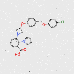 O=C(O)c1cccc(N2CC(Oc3ccc(COc4ccc(Cl)cc4)cc3)C2)c1-n1cccc1